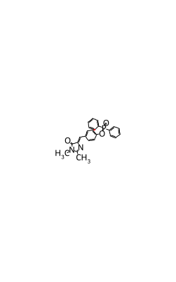 CC1=N/C(=C\c2ccc(OP(=O)(c3ccccc3)c3ccccc3)cc2)C(=O)N1C